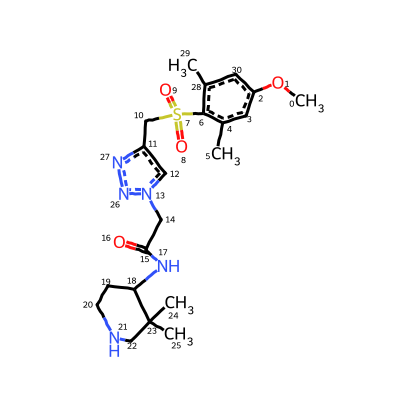 COc1cc(C)c(S(=O)(=O)Cc2cn(CC(=O)NC3CCNCC3(C)C)nn2)c(C)c1